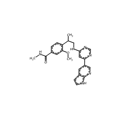 CNC(=O)c1ccc(C(C)CNc2cc(-c3cnc4[nH]ccc4c3)ncn2)c(OC)c1